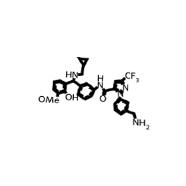 COc1cccc(C(NCC2CC2)c2cccc(NC(=O)c3cc(C(F)(F)F)nn3-c3cccc(CN)c3)c2)c1O